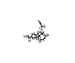 CC#CC(=O)OC[C@H]1O[C@@H](n2ccc(NO)nc2=O)[C@@H]2OC(=O)/C=C\C(=O)O[C@@H]21